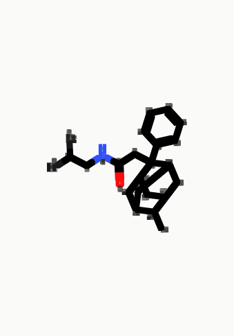 CCC(CC)CNC(=O)CC1(c2ccccc2)C2CC3CC1CC(C2)C3C